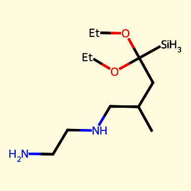 CCOC([SiH3])(CC(C)CNCCN)OCC